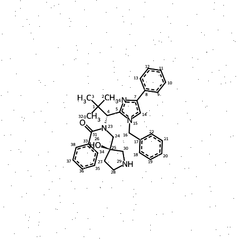 CC(C)(C)[C@H](c1nc(-c2ccccc2)cn1Cc1ccccc1)N(C[C@@]1(O)CCNC1)C(=O)c1ccccc1